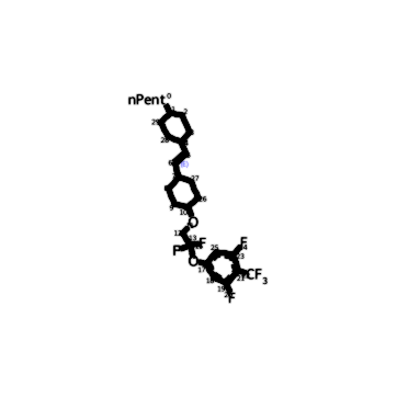 CCCCCC1CCC(/C=C/C2CCC(OCC(F)(F)Oc3cc(F)c(C(F)(F)F)c(F)c3)CC2)CC1